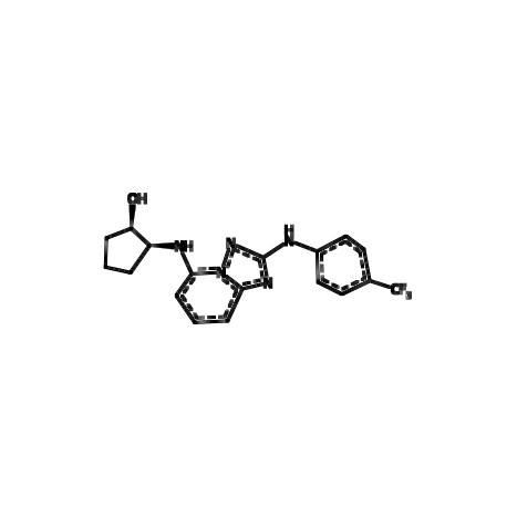 O[C@@H]1CCC[C@@H]1Nc1cccc2nc(Nc3ccc(C(F)(F)F)cc3)nn12